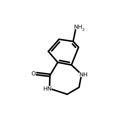 Nc1ccc2c(c1)NCCNC2=O